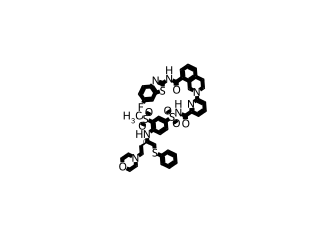 CS(=O)(=O)c1cc(S(=O)(=O)NC(=O)c2cccc(N3CCc4cccc(C(=O)Nc5nc6ccc(F)cc6s5)c4C3)n2)ccc1N[C@H](CCN1CCOCC1)CSc1ccccc1